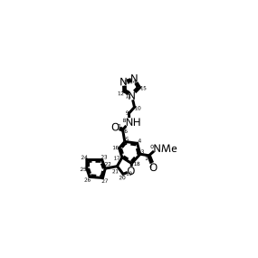 CNC(=O)c1cc(C(=O)NCCn2cnnc2)cc2c1OCC2c1ccccc1